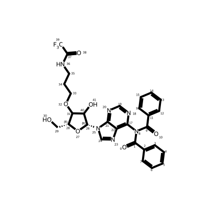 O=C(c1ccccc1)N(C(=O)c1ccccc1)c1ncnc2c1ncn2[C@@H]1O[C@H](CO)C(OCCCNC(=O)C(F)(F)F)C1O